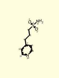 NS(=O)(=O)CCCc1ccncc1